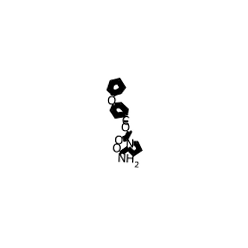 NC(=O)C1CCCN1C(=O)COCc1ccc(Oc2ccccc2)cc1